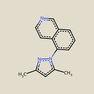 Cc1cc(C)n(-c2cccc3cnccc23)n1